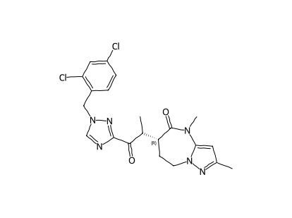 Cc1cc2n(n1)CC[C@H](C(C)C(=O)c1ncn(Cc3ccc(Cl)cc3Cl)n1)C(=O)N2C